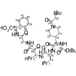 CCCC(NC(=O)[C@H](CC(C)C)NC(=O)[C@@H](NC(=O)OCC(C)C)C1CCN(C(=O)CC(C)(C)C)CC1)C(=O)C(=O)NCC(=O)N[C@H](C(=O)O)c1ccccc1